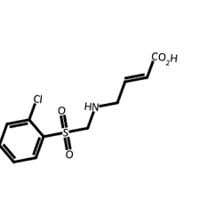 O=C(O)/C=C/CNCS(=O)(=O)c1ccccc1Cl